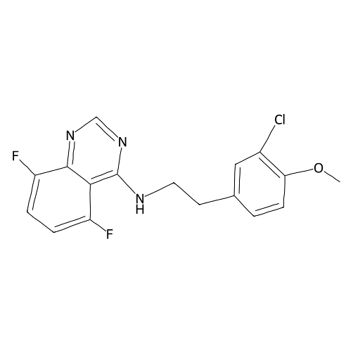 COc1ccc(CCNc2ncnc3c(F)ccc(F)c23)cc1Cl